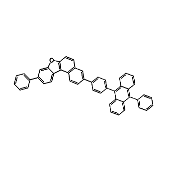 c1ccc(-c2ccc3c(c2)oc2ccc4cc(-c5ccc(-c6c7ccccc7c(-c7ccccc7)c7ccccc67)cc5)ccc4c23)cc1